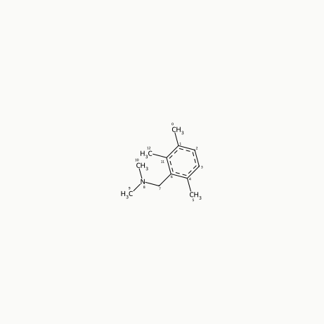 Cc1ccc(C)c(CN(C)C)c1C